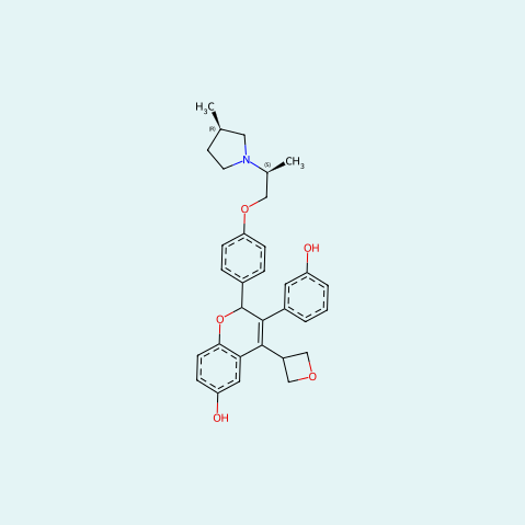 C[C@@H]1CCN([C@@H](C)COc2ccc(C3Oc4ccc(O)cc4C(C4COC4)=C3c3cccc(O)c3)cc2)C1